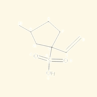 C=CC1(S(=O)(=O)O)CCC(C)C1